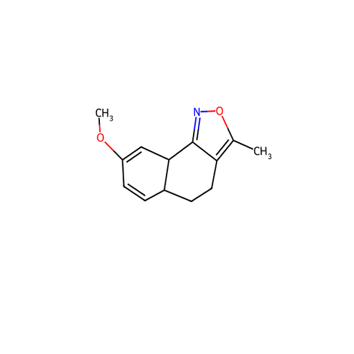 COC1=CC2c3noc(C)c3CCC2C=C1